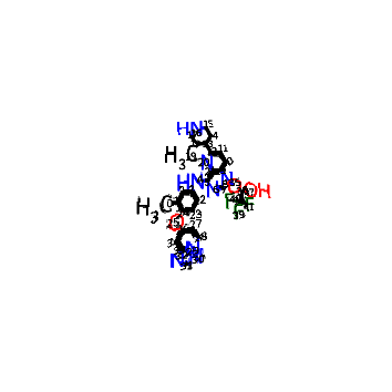 Cc1cc(Nc2ncnc3ccc(C4CCNCC4C)nc23)ccc1Oc1ccn2ncnc2c1.O=C(O)C(F)(F)F